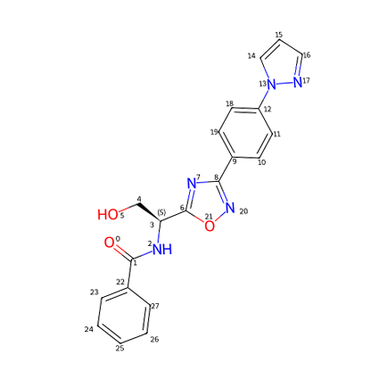 O=C(N[C@@H](CO)c1nc(-c2ccc(-n3cccn3)cc2)no1)c1ccccc1